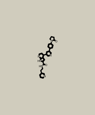 O=C(NCCc1cccnc1)c1cc2c(-c3cncc(-c4ccc(N5CCCC5=O)cc4)c3)ccnc2[nH]1